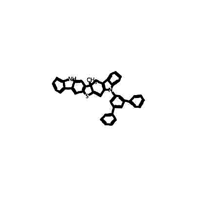 CC12Cc3c(n(-c4cc(-c5ccccc5)cc(-c5ccccc5)c4)c4ccccc34)C=C1Sc1cc3c(cc12)[nH]c1ccccc13